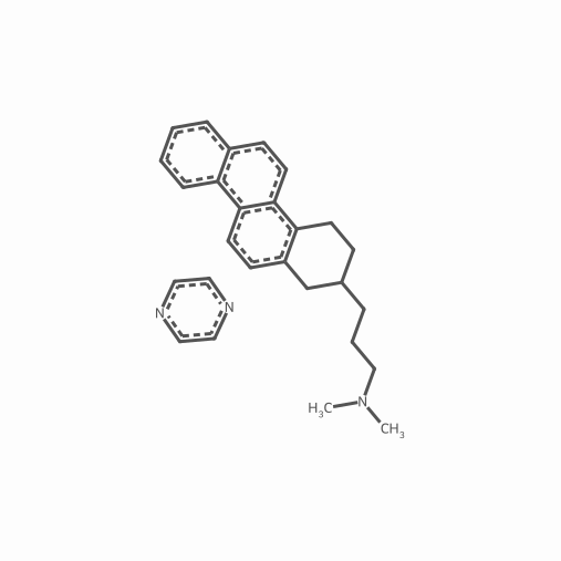 CN(C)CCCC1CCc2c(ccc3c2ccc2ccccc23)C1.c1cnccn1